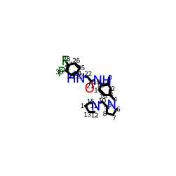 Cc1cc(CN2CCCC2CN2CCCC2)ccc1NC(=O)CNc1ccc(F)c(F)c1